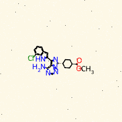 COC(=O)[C@H]1CC[C@H](c2nc(-c3cc4cccc(Cl)c4[nH]3)c3c(N)ncnn32)CC1